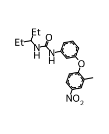 CCC(CC)NC(=O)Nc1cccc(Oc2ccc([N+](=O)[O-])cc2C)c1